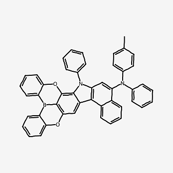 Cc1ccc(N(c2ccccc2)c2cc3c(c4ccccc24)c2cc4c5c(c2n3-c2ccccc2)Oc2ccccc2B5c2ccccc2O4)cc1